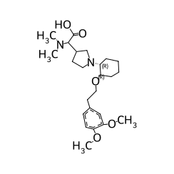 COc1ccc(CCO[C@@H]2CCCC[C@H]2N2CCC(C(C(=O)O)N(C)C)C2)cc1OC